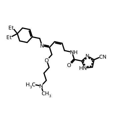 CCC1(CC)CC=C(C/N=C(\C=C/CNC(=O)c2nc(C#N)c[nH]2)COCCCN(C)C)CC1